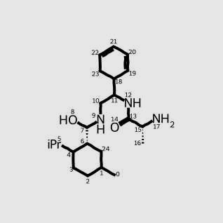 CC1CCC(C(C)C)[C@H](C(O)NCC(NC(=O)[C@@H](C)N)C2C=CC=CC2)C1